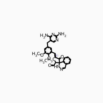 COc1cc(Cc2cnc(N)nc2N)cc(/C=C/C(=O)C2(C(C)C=O)NN=Cc3ccccc32)c1OC